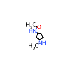 CNC1CCC(NC(C)=O)C1